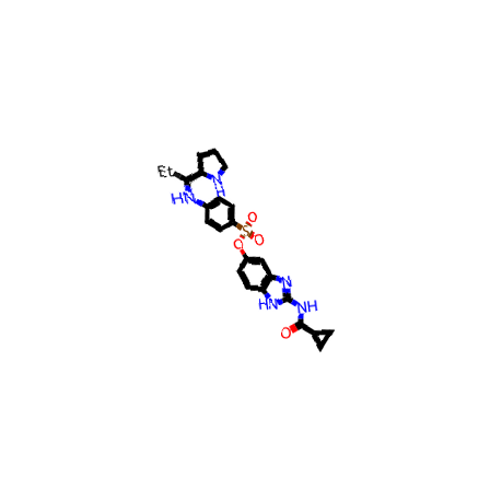 CCC(Nc1ccc(S(=O)(=O)Oc2ccc3[nH]c(NC(=O)C4CC4)nc3c2)cc1)C1CCCN1